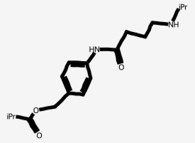 CC(C)NCCCC(=O)Nc1ccc(COC(=O)C(C)C)cc1